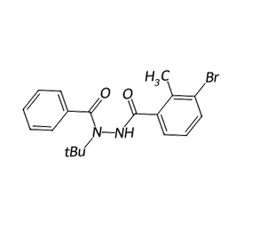 Cc1c(Br)cccc1C(=O)NN(C(=O)c1ccccc1)C(C)(C)C